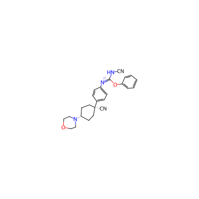 N#CN/C(=N/c1ccc([C@]2(C#N)CC[C@@H](N3CCOCC3)CC2)cc1)Oc1ccccc1